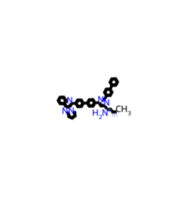 C/C=C\C=C(/N)c1cc(-c2ccc(-c3ccc(-c4nc5ccccc5c5nc6ccccn6c45)cc3)cc2)nc(-c2ccc(-c3ccccc3)cc2)n1